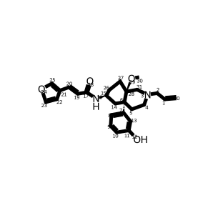 C=CCN1CC[C@@]2(c3cccc(O)c3)C[C@@H](NC(=O)C=Cc3ccoc3)CC[C@]2(OC)C1